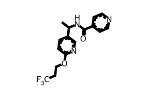 CC(NC(=O)c1ccncc1)c1ccc(OCCC(F)(F)F)nc1